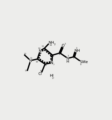 CSC(=N)NC(=O)c1nc(Cl)c(N(C)C)nc1N.I